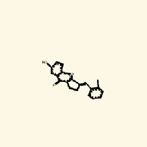 Cc1ccccc1C=C1CCc2c1oc1ccc(O)cc1c2=O